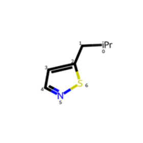 CC(C)Cc1ccns1